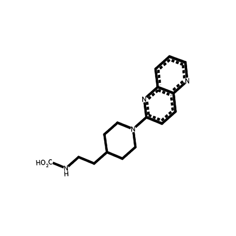 O=C(O)NCCC1CCN(c2ccc3ncccc3n2)CC1